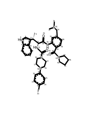 C[C@@H](c1c[nH]c2ccccc12)[C@@H](NC(=O)N1CCN(c2ccc(F)cc2)CC1)C(=O)Nc1cc(CN(C)C)ccc1C(=O)N1CCCC1